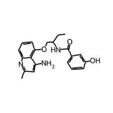 CCC(COc1cccc2nc(C)cc(N)c12)NC(=O)c1cccc(O)c1